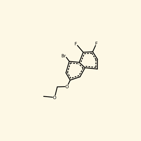 COCOc1cc(Br)c2c(F)c(F)ccc2c1